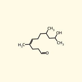 CC(=CCCC(C)CC(C)O)CCC=O